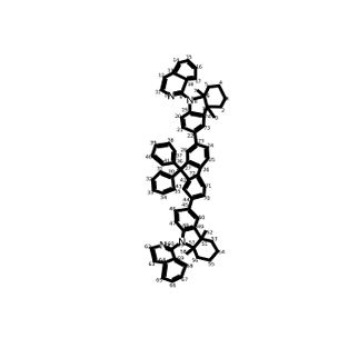 CC12CCCCC1(C)N(c1nccc3ccccc13)c1ccc(-c3ccc4c(c3)C(c3ccccc3)(c3ccccc3)c3cc(-c5ccc6c(c5)C5(C)CCCCC5(C)N6c5nccc6ccccc56)ccc3-4)cc12